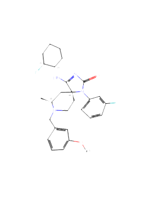 CC(C)Oc1cccc(CN2CC[C@@]3(C[C@@H]2C)C(N[C@H]2CCCC[C@@H]2F)=NC(=O)N3c2cccc(F)c2)c1